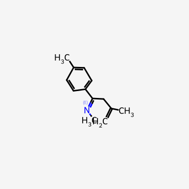 C=C(C)C/C(=N\C)c1ccc(C)cc1